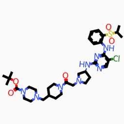 CC(C)S(=O)(=O)c1ccccc1Nc1nc(N[C@@H]2CCN(CC(=O)N3CCC(CN4CCN(C(=O)OC(C)(C)C)CC4)CC3)C2)ncc1Cl